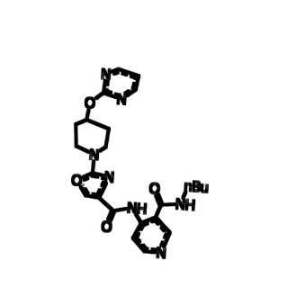 CCCCNC(=O)c1cnccc1NC(=O)c1coc(N2CCC(Oc3ncccn3)CC2)n1